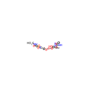 CC(C)(C)c1cc(OCCOCCOc2ccc(C3CCN(S(=O)(=O)c4ccc(C(=O)NCC(=O)O)cc4)CC3)cc2)c(O)cc1NC(=O)c1c[nH]c2ccccc2c1=O